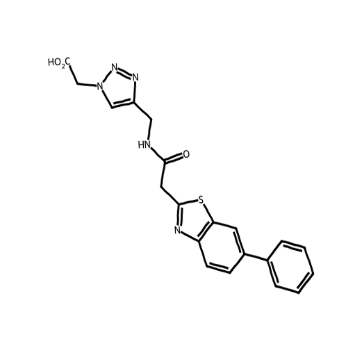 O=C(O)Cn1cc(CNC(=O)Cc2nc3ccc(-c4ccccc4)cc3s2)nn1